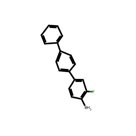 Bc1ccc(-c2ccc(-c3ccccc3)cc2)cc1F